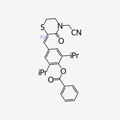 CC(C)c1cc(/C=C2/SCCN(CC#N)C2=O)cc(C(C)C)c1OC(=O)c1ccccc1